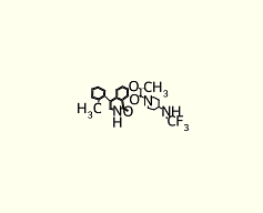 Cc1ccccc1-c1c[nH]c(=O)c2cc(O[C@H](C)C(=O)N3CCC(NCC(F)(F)F)CC3)ccc12